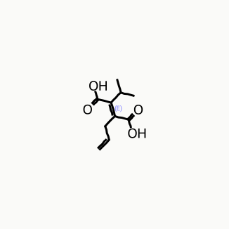 C=CC/C(C(=O)O)=C(\C(=O)O)C(C)C